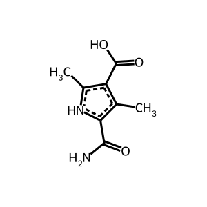 Cc1[nH]c(C(N)=O)c(C)c1C(=O)O